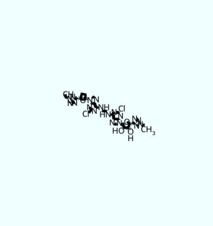 CCn1nnc([C@@H]2CC[C@H](n3cnc4c(NCCNc5nc(Cl)nc6c5ncn6[C@@H]5O[C@H](c6nnn(CC)n6)[C@@H](O)[C@H]5O)nc(Cl)nc43)O2)n1